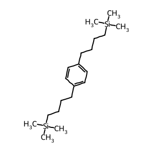 C[Si](C)(C)CCCCc1ccc(CCCC[Si](C)(C)C)cc1